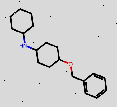 c1ccc(COC2CCC(NC3CCCCC3)CC2)cc1